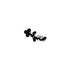 C[C@@H](CO[Si](C)(C)C(C)(C)C)C[C@@H](C)[C@@H](O)[C@@H](C)C=C[C@H](C[C@H](O[Si](C)(C)C(C)(C)C)[C@@H](C)C=CCOC(c1ccccc1)(c1ccccc1)c1ccccc1)O[Si](C)(C)C(C)(C)C